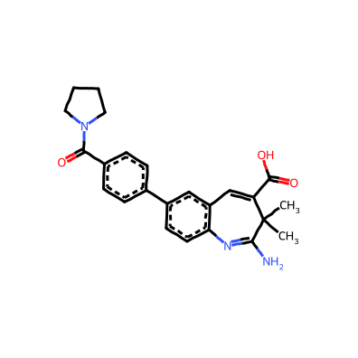 CC1(C)C(C(=O)O)=Cc2cc(-c3ccc(C(=O)N4CCCC4)cc3)ccc2N=C1N